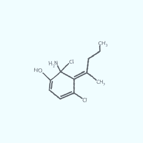 CCCC(C)=C1C(Cl)=CC=C(O)C1(N)Cl